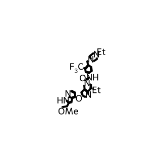 CC[C@@H]1CN(C(=O)Nc2ccc(CN3CCN(CC)CC3)c(C(F)(F)F)c2)Cc2cc(Oc3ccnc4[nH]c(CCOC)cc34)cnc21